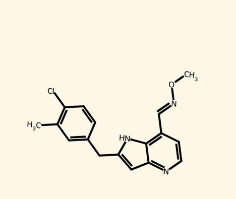 CON=Cc1ccnc2cc(Cc3ccc(Cl)c(C)c3)[nH]c12